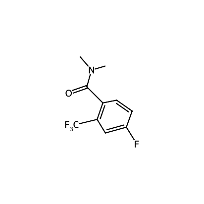 CN(C)C(=O)c1ccc(F)cc1C(F)(F)F